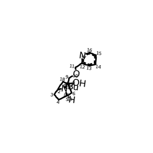 CC(C)(C)N1C2CC[C@@H]1C[C@@](O)(COCc1ccccn1)C2